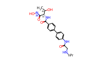 CCCNCC(=O)Nc1ccc(-c2ccc(C(=O)N[C@H](C(=O)NO)[C@@H](C)O)cc2)cc1